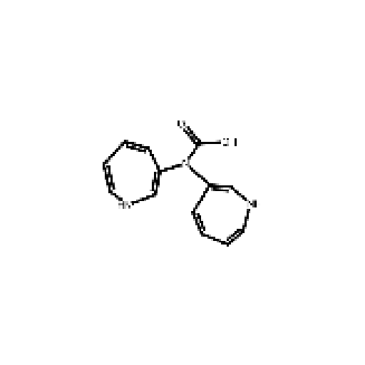 O=C(O)N(C1=CNC=CC=C1)C1=CNC=CC=C1